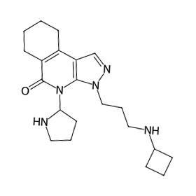 O=c1c2c(c3cnn(CCCNC4CCC4)c3n1C1CCCN1)CCCC2